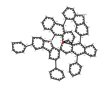 c1ccc(-c2ccc3c(c2)c2cc(-c4ccccc4)ccc2n3-c2c3ccccc3c(-c3cccc4oc5ccc(-c6c7ccccc7c(-c7ccccc7)c7ccccc67)cc5c34)c3ccccc23)cc1